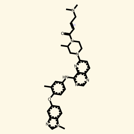 Cc1cc(Nc2ncnc3ccc(N4CCN(C(=O)/C=C/CN(C)C)C(C)C4)nc23)ccc1Oc1ccc2c(c1)ncn2C